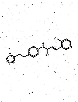 O=C(/C=C/c1cnccc1Cl)Nc1ccc(CCc2nnco2)cc1